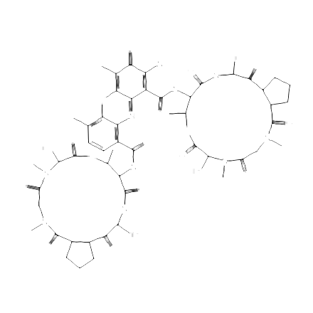 Cc1c2oc3c(C)ccc(C(=O)NC4C(=O)NC(C(C)C)C(=O)C5CCCC5C(=O)N(C)CC(=O)N(C)C(C(C)C)C(=O)OC4C)c3nc-2c(C(=O)NC2C(=O)NC(C(C)C)C(=O)C3CCCC3C(=O)N(C)CC(=O)N(C)C(C(C)C)C(=O)OC2C)c(N)c1=O